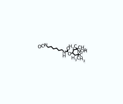 CC1(C)CC(OC(=O)NCCCCCCN=C=O)CC(C)(C)N1O